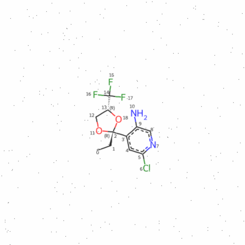 CC[C@@]1(c2cc(Cl)ncc2N)OC[C@H](C(F)(F)F)O1